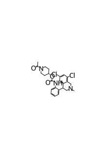 CC(=O)N1CCC(OC(=O)Nc2ccccc2C2CN(C)Cc3c(Cl)cc(Cl)cc32)CC1